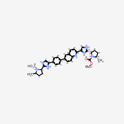 CC1CCC(c2ncc(-c3ccc(-c4ccc5nc(-c6c[nH]c([C@@H]7CC[C@H](C)N7C(=O)OC(C)(C)C)n6)ccc5c4)cc3)[nH]2)N1C(=O)O